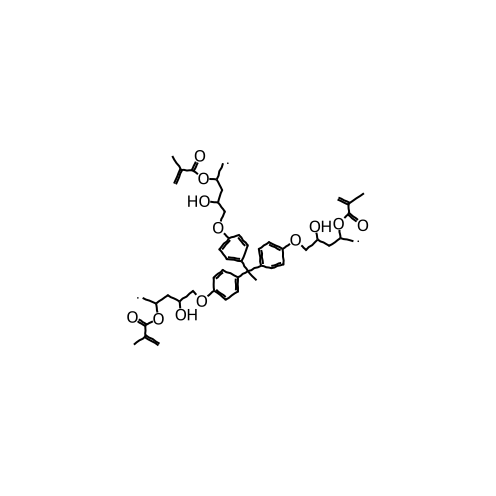 [CH2]C(CC(O)COc1ccc(C(C)(c2ccc(OCC(O)CC([CH2])OC(=O)C(=C)C)cc2)c2ccc(OCC(O)CC([CH2])OC(=O)C(=C)C)cc2)cc1)OC(=O)C(=C)C